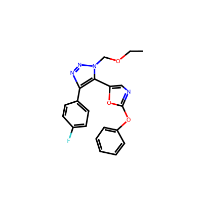 CCOCn1nnc(-c2ccc(F)cc2)c1-c1cnc(Oc2ccccc2)o1